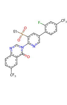 CCS(=O)(=O)c1cc(-c2ccc(C(F)(F)F)cc2F)cnc1-n1cnc2ccc(C(F)(F)F)cc2c1=O